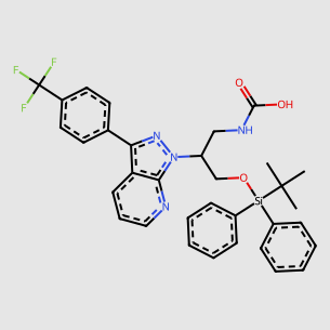 CC(C)(C)[Si](OCC(CNC(=O)O)n1nc(-c2ccc(C(F)(F)F)cc2)c2cccnc21)(c1ccccc1)c1ccccc1